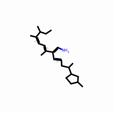 CCC(C)/C(C)=C\C=C(/C)C(=CN)/C=C/CC(C)C1CCC(C)C1